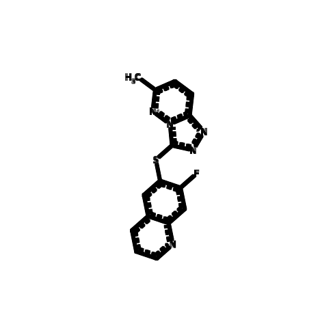 Cc1ccc2nnc(Sc3cc4cccnc4cc3F)n2n1